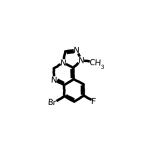 CN1N=CN2CN=c3c(Br)cc(F)cc3=C21